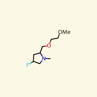 COCCOCC1CC(F)CN1C